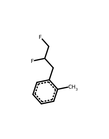 Cc1ccccc1CC(F)CF